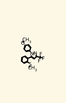 COc1ccc(-n2nc(C(F)(F)F)cc2-c2ccccc2SC)cc1